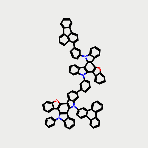 c1ccc(-n2c3ccccc3c3c4c(c5ccc(-c6cccc(-n7c8ccccc8c8c9c(c%10ccccc%10n9-c9cccc(-c%10ccc%11c%12c(cccc%10%12)-c%10ccccc%10-%11)c9)c9oc%10ccccc%10c9c87)c6)cc5n4-c4ccc5c6ccccc6c6ccccc6c5c4)c4oc5ccccc5c4c32)cc1